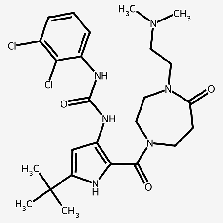 CN(C)CCN1CCN(C(=O)c2[nH]c(C(C)(C)C)cc2NC(=O)Nc2cccc(Cl)c2Cl)CCC1=O